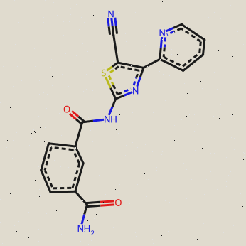 N#Cc1sc(NC(=O)c2cccc(C(N)=O)c2)nc1-c1ccccn1